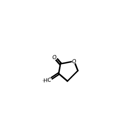 [CH]=C1CCOC1=O